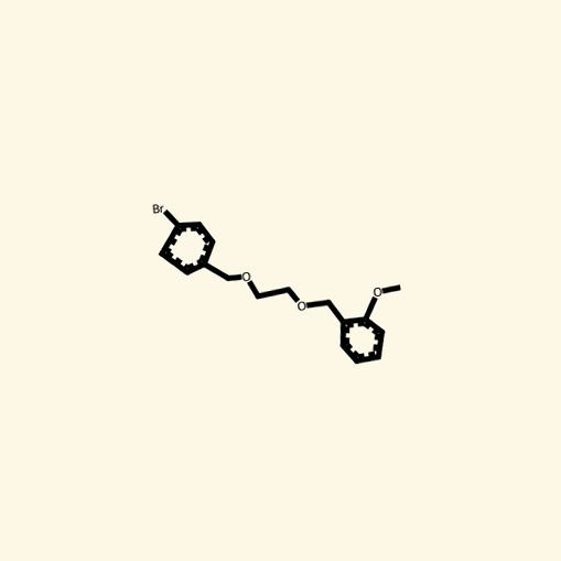 COc1ccccc1COCCOCc1ccc(Br)cc1